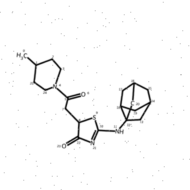 CC1CCN(C(=O)CC2SC(NC34CC5CC(CC3C5)C4)=NC2=O)CC1